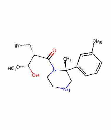 COc1cccc([C@]2(C)CNCCN2C(=O)[C@@H](CC(C)C)[C@H](O)C(=O)O)c1